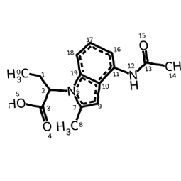 CCC(C(=O)O)n1c(C)cc2c(NC(C)=O)cccc21